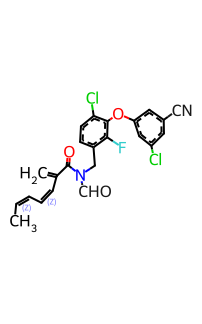 C=C(/C=C\C=C/C)C(=O)N(C=O)Cc1ccc(Cl)c(Oc2cc(Cl)cc(C#N)c2)c1F